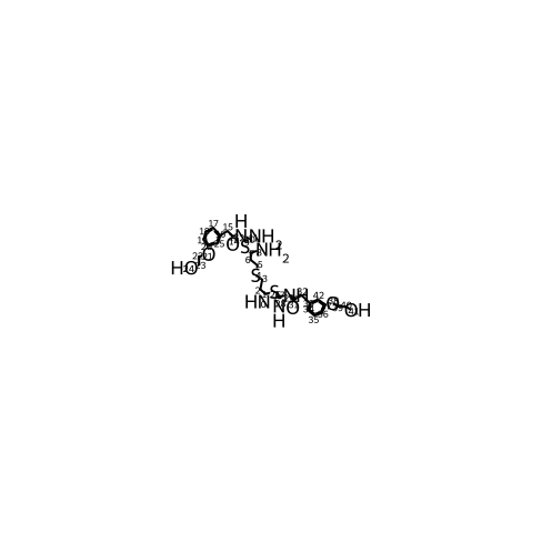 N=C(CCSCCC(N)SC(N)NC(=O)Cc1cccc(OCCO)c1)SC(=N)NC(=O)Cc1cccc(OCCO)c1